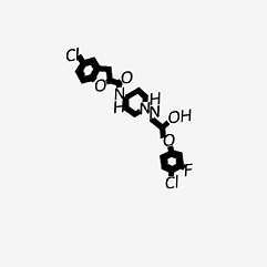 O=C(NC1CCN(NCC(O)COc2ccc(Cl)c(F)c2)CC1)C1Cc2cc(Cl)ccc2O1